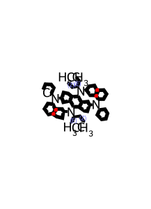 C/C=C\C(=C/C)N(c1ccccc1)c1c2ccc(N(c3ccccc3)c3ccccc3)cc2c(N(C(/C=C\C)=C/C)c2ccccc2)c2ccc(N(c3ccccc3)c3ccccc3)cc12